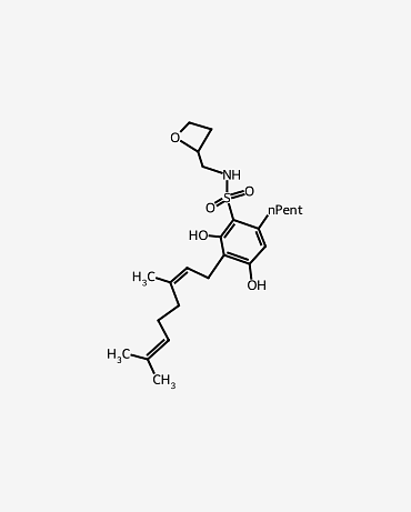 CCCCCc1cc(O)c(CC=C(C)CCC=C(C)C)c(O)c1S(=O)(=O)NCC1CCO1